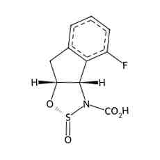 O=C(O)N1[C@H]2c3c(F)cccc3C[C@H]2O[S@]1=O